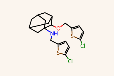 Clc1ccc(CNC23CC4CC(CC(C4)C2OCc2ccc(Cl)s2)C3)s1